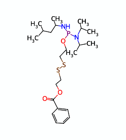 CC(C)CC(C)NP(OCCSSCCOC(=O)c1ccccc1)N(C(C)C)C(C)C